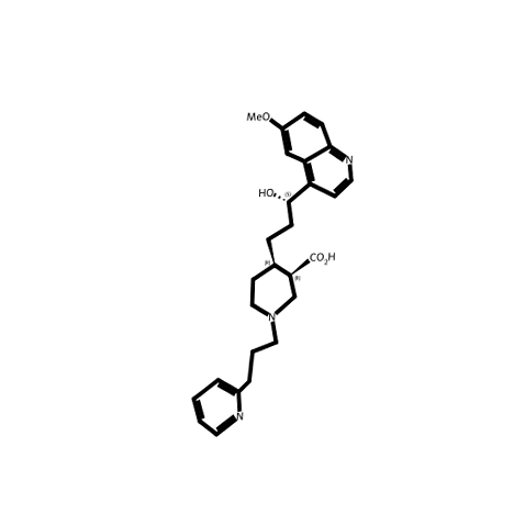 COc1ccc2nccc([C@@H](O)CC[C@@H]3CCN(CCCc4ccccn4)C[C@@H]3C(=O)O)c2c1